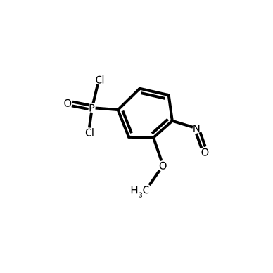 COc1cc(P(=O)(Cl)Cl)ccc1N=O